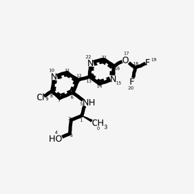 C[C@@H](CCO)Nc1cc(Cl)ncc1-c1cnc(OC(F)F)cn1